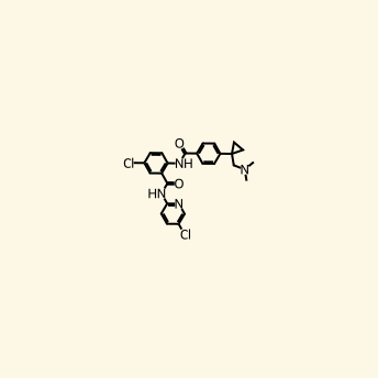 CN(C)CC1(c2ccc(C(=O)Nc3ccc(Cl)cc3C(=O)Nc3ccc(Cl)cn3)cc2)CC1